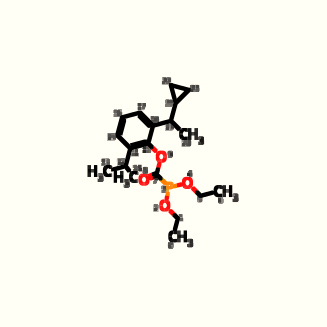 CCOP(OCC)C(=O)Oc1c(C(C)C)cccc1C(C)C1CC1